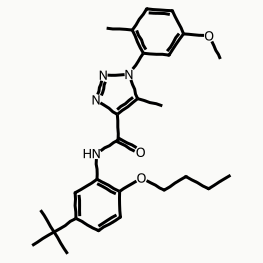 CCCCOc1ccc(C(C)(C)C)cc1NC(=O)c1nnn(-c2cc(OC)ccc2C)c1C